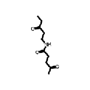 CCC(=O)CCNC(=O)CCC(C)=O